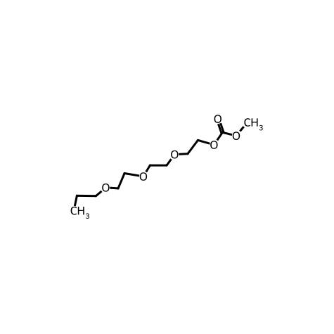 CCCOCCOCCOCCOC(=O)OC